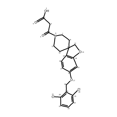 O=C(O)CC(=O)N1CCC2(CC1)COc1cc(OCc3c(Cl)cccc3Cl)ccc12